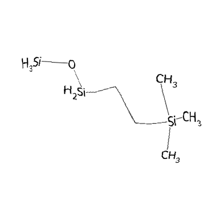 C[Si](C)(C)CC[SiH2]O[SiH3]